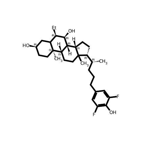 CC[C@@H]1C2C[C@H](O)CC[C@]2(C)[C@H]2CCC3(C)[C@@H]([C@H](C)CCCc4cc(F)c(O)c(F)c4)CC[C@H]3[C@H]2[C@@H]1O